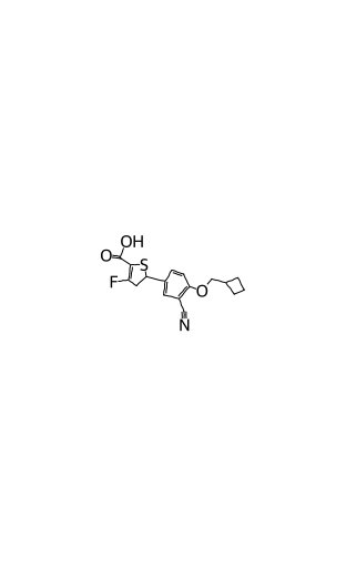 N#Cc1cc(C2CC(F)=C(C(=O)O)S2)ccc1OCC1CCC1